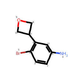 Nc1ccc(Br)c(C2COC2)c1